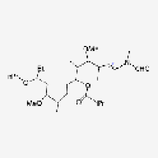 CCCOC(CC)CC(OC)C(C)CCC(OC(=O)C(C)C)C(C)C(OC)C(C)/C=C/N(C)C=O